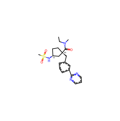 CCN(C)C(=O)[C@@]1(Cc2cccc(-c3ncccn3)c2)CC[C@H](NS(C)(=O)=O)C1